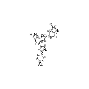 CC(=O)N1CCC(n2cc(-c3cnc(N)c4oc(-c5ccc6ncn(C)c6c5)cc34)cn2)CC1